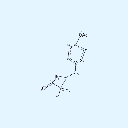 CC(=O)Oc1ccc(OC2NC(=O)C2(C)C)cc1